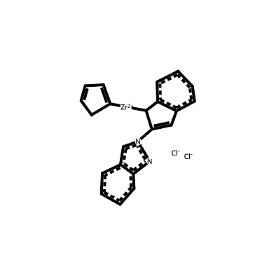 C1=CC[C]([Zr+2][CH]2C(n3cc4ccccc4n3)=Cc3ccccc32)=C1.[Cl-].[Cl-]